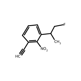 C#Cc1cccc([C](C)CF)c1[N+](=O)[O-]